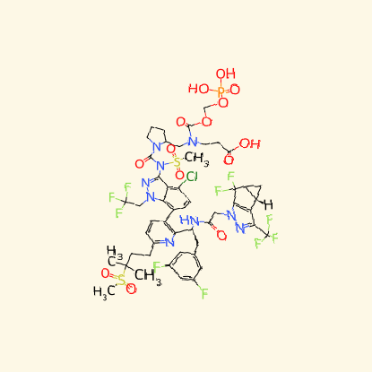 CC(C)(CCc1ccc(-c2ccc(Cl)c3c(N(C(=O)N4CCCC4CN(CCC(=O)O)C(=O)OCOP(=O)(O)O)S(C)(=O)=O)nn(CC(F)(F)F)c23)c([C@H](Cc2cc(F)cc(F)c2)NC(=O)Cn2nc(C(F)(F)F)c3c2C(F)(F)C2C[C@H]32)n1)S(C)(=O)=O